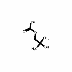 CCC(C)C(=O)OCC(C)(C)O